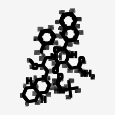 CO[C@H](CN1C[C@H]2CCCC[C@H]2C[C@H]1C(=O)NC(C)(C)C)[C@H](Cc1ccccc1)NC(=O)[C@H](CC(N)=O)NC(=O)c1ccc2ccccc2n1